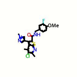 COc1ccc(CNC(=O)c2sc3nc(C)c(Cl)c(C)c3c2-c2cnn(C)c2)cc1F